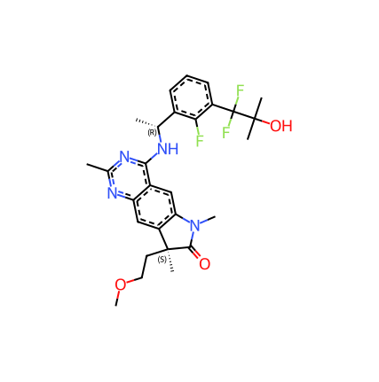 COCC[C@]1(C)C(=O)N(C)c2cc3c(N[C@H](C)c4cccc(C(F)(F)C(C)(C)O)c4F)nc(C)nc3cc21